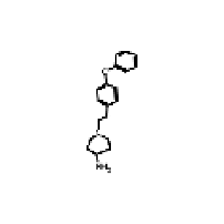 NC1CCN(C[CH]c2ccc(Oc3ccccc3)cc2)CC1